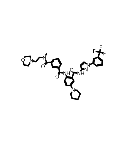 CN(CCN1CCOCC1)C(=O)c1cccc(C(=O)Nc2ccc(N3CCCCC3)cc2C(=O)Nc2ccn(-c3cccc(C(F)(F)F)c3)n2)c1